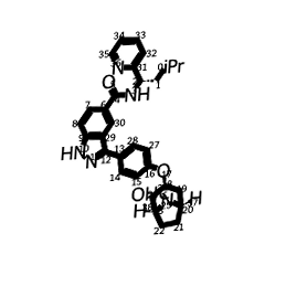 CC(C)C[C@H](NC(=O)c1ccc2[nH]nc(-c3ccc(O[C@H]4C[C@H]5CC[C@@H](C4)N5C=O)cc3)c2c1)c1ccccn1